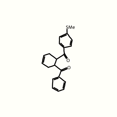 CSc1ccc(C(=O)C2CC=CCC2C(=O)c2ccccc2)cc1